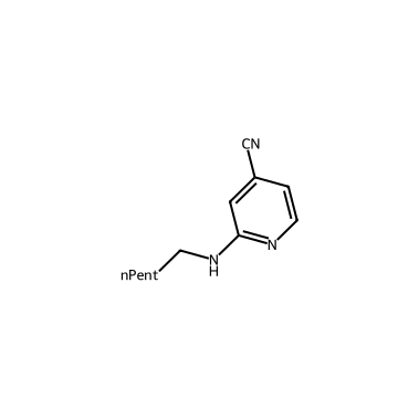 CCCCCCNc1cc(C#N)ccn1